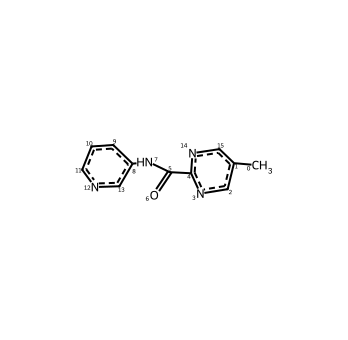 Cc1cnc(C(=O)Nc2cccnc2)nc1